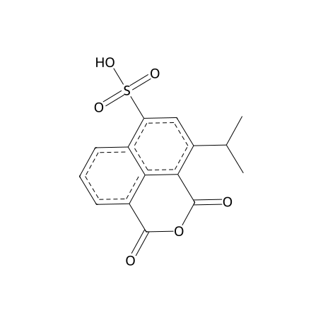 CC(C)c1cc(S(=O)(=O)O)c2cccc3c2c1C(=O)OC3=O